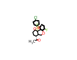 CC(=O)[C@@H]1CCC[C@@]2(S(=O)(=O)c3ccc(Cl)cc3)c3c(F)ccc(F)c3OCC12